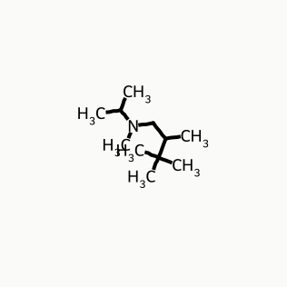 CC(C)N(C)CC(C)C(C)(C)C